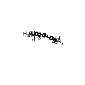 CS(=O)(=O)Nc1ccc(CCN2CCC(C3Cc4ccc(NS(C)(=O)=O)cc4C3=O)CC2)cc1